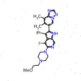 COCCN1CCN(c2ncc3[nH]c(-c4cn5ncnc5c(C)c4C)c(C(C)C)c3c2F)CC1